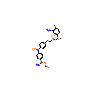 CCOC(=N)c1ccc(N(P)c2ccc(CCN(P)C[C@H](C)c3ccc(C)c(N)c3)cc2)cc1